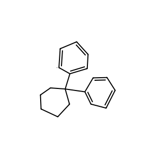 [c]1ccccc1C1(c2ccccc2)CCCCC1